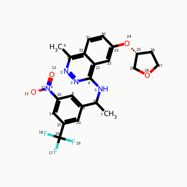 Cc1nnc(NC(C)c2cc([N+](=O)[O-])cc(C(F)(F)F)c2)c2cc(O[C@@H]3CCOC3)ccc12